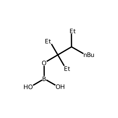 CCCCC(CC)C(CC)(CC)OB(O)O